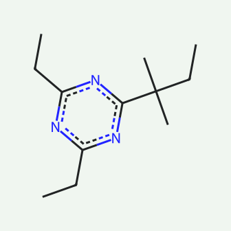 CCc1nc(CC)nc(C(C)(C)CC)n1